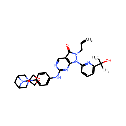 C=CCn1c(=O)c2cnc(Nc3ccc(N4CC5CC(C4)N5C4COC4)cc3)nc2n1-c1cccc(C(C)(C)O)n1